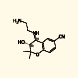 CC1(C)Oc2ccc(C#N)cc2[C@H](NCCN)[C@H]1O